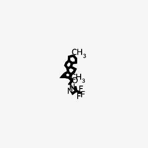 CC1CCC2C(CCC3C2CCC2(C)C(C(=O)Cn4cc(C(F)(F)F)cn4)C4CC4C32)C1